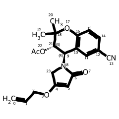 C=CCOC1=CC(=O)N([C@@H]2c3cc(C#N)ccc3OC(C)(C)[C@H]2OC(C)=O)C1